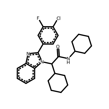 O=C(NC1CCCCC1)C(C1CCCCC1)n1c(-c2ccc(Cl)c(F)c2)nc2ccccc21